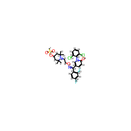 CC1(C)CC(OS(C)(=O)=O)CC(C)(C)N1CCO/N=C(\c1ccc(=O)n(-c2c(Cl)cccc2Cl)c1)c1ccc(F)cc1F